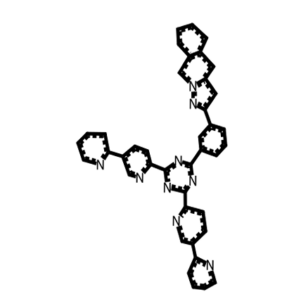 c1ccc(-c2ccc(-c3nc(-c4cccc(-c5cc6cc7ccccc7cn6n5)c4)nc(-c4ccc(-c5ccccn5)cn4)n3)nc2)nc1